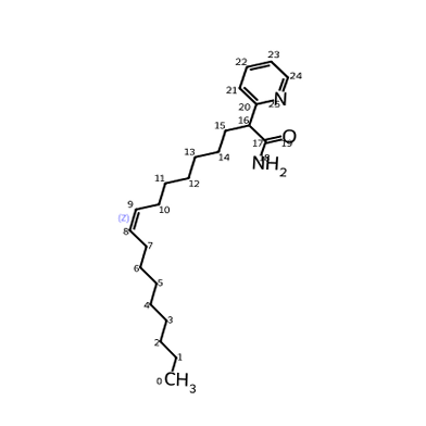 CCCCCCCC/C=C\CCCCCCC(C(N)=O)c1ccccn1